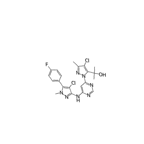 Cc1nn(-c2cc(Nc3nn(C)c(-c4ccc(F)cc4)c3Cl)ncn2)c(C(C)(C)O)c1Cl